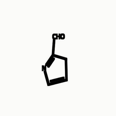 O=CC1=NC=CC1